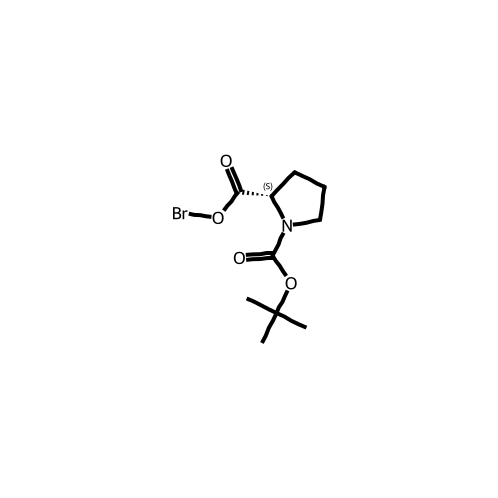 CC(C)(C)OC(=O)N1CCC[C@H]1C(=O)OBr